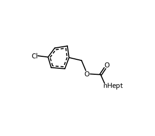 CCCCCCCC(=O)OCc1ccc(Cl)cc1